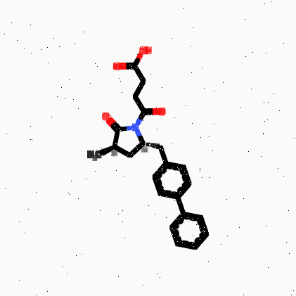 C[C@@H]1C[C@@H](Cc2ccc(-c3ccccc3)cc2)N(C(=O)CCC(=O)O)C1=O